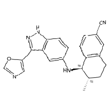 C[C@H]1CCc2cc(C#N)ccc2[C@@H]1Nc1ccc2[nH]nc(-c3cnco3)c2c1